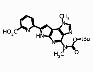 CN(C(=O)OC(C)(C)C)c1nc2[nH]c(-c3cccc(C(=O)O)n3)cc2c2c1ncn2C